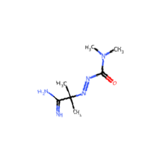 CN(C)C(=O)N=NC(C)(C)C(=N)N